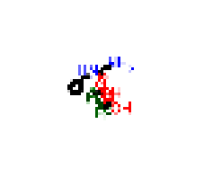 NCCC(=O)NCCc1ccccc1.O=C(O)C(F)(F)F.O=C(O)C(F)(F)F